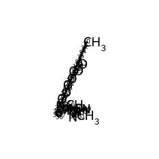 CCCCCCC/C=C/CC(C=O)CC(=O)OCCOCCOCCOCCOCCN(Cc1ccccc1)c1ccc(/N=N/c2sc(C#N)c(C)c2C#N)c(C)c1